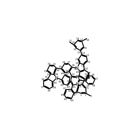 Cc1cc(C)cc(-c2ccc3c4ccc(-c5cc(C)cc(C)c5)cc4n(-c4ccc(-c5cccc6c7ccccc7n(-c7ccccc7)c56)cc4-c4nc(-c5ccccc5)nc(-c5ccccc5)n4)c3c2)c1